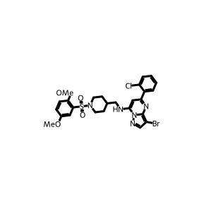 COc1ccc(OC)c(S(=O)(=O)N2CCC(CNc3cc(-c4ccccc4Cl)nc4c(Br)cnn34)CC2)c1